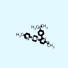 COc1ccc(N2CCN(c3ccc(C)cn3)CC2)c(C2=CC=C(N(C)C)CC2)n1